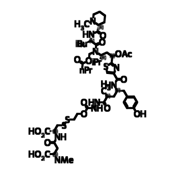 CCCC(=O)OCN(C(=O)[C@@H](NC(=O)[C@H]1CCCCN1C)[C@H](C)CC)[C@H](C[C@@H](OC(C)=O)c1nc(C(=O)N[C@@H](Cc2ccc(O)cc2)C[C@H](C)C(=O)NNC(=O)OCCSSC[C@H](NC(=O)C[C@H](NC)C(=O)O)C(=O)O)cs1)C(C)C